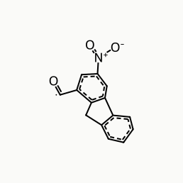 O=[C]c1cc([N+](=O)[O-])cc2c1Cc1ccccc1-2